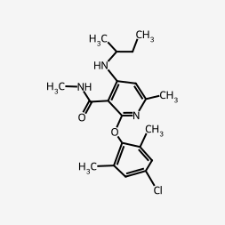 CCC(C)Nc1cc(C)nc(Oc2c(C)cc(Cl)cc2C)c1C(=O)NC